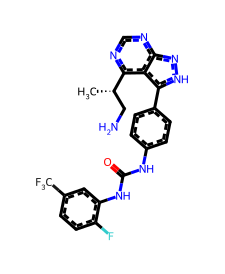 C[C@@H](CN)c1ncnc2n[nH]c(-c3ccc(NC(=O)Nc4cc(C(F)(F)F)ccc4F)cc3)c12